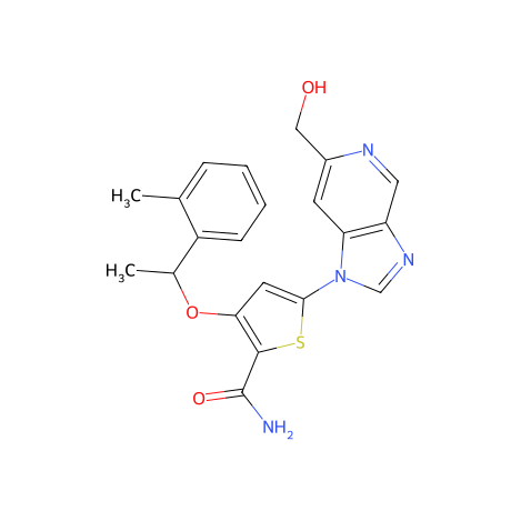 Cc1ccccc1C(C)Oc1cc(-n2cnc3cnc(CO)cc32)sc1C(N)=O